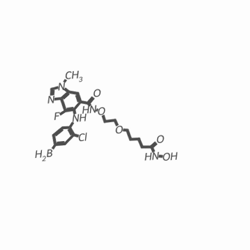 Bc1ccc(Nc2c(C(=O)NOCCOCCCCC(=O)NO)cc3c(ncn3C)c2F)c(Cl)c1